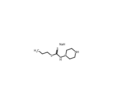 CCCSC(=S)NN1CCNCC1.[NaH]